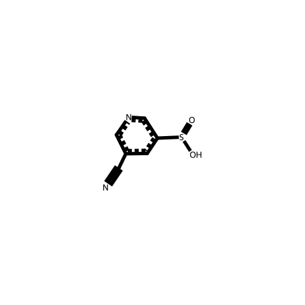 N#Cc1cncc(S(=O)O)c1